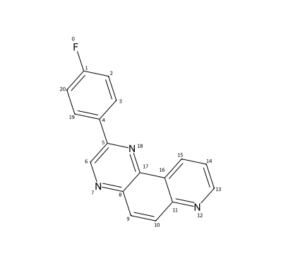 Fc1ccc(-c2cnc3ccc4ncccc4c3n2)cc1